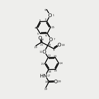 COc1cccc(OC([C]=O)(Oc2cccc(NC(C)=O)c2)C(C)=O)c1